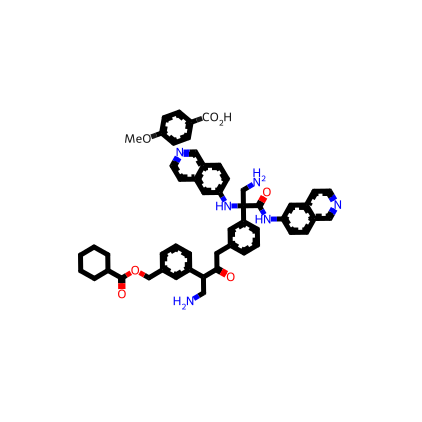 COc1ccc(C(=O)O)cc1.NCC(C(=O)Cc1cccc(C(CN)(Nc2ccc3cnccc3c2)C(=O)Nc2ccc3cnccc3c2)c1)c1cccc(COC(=O)C2CCCCC2)c1